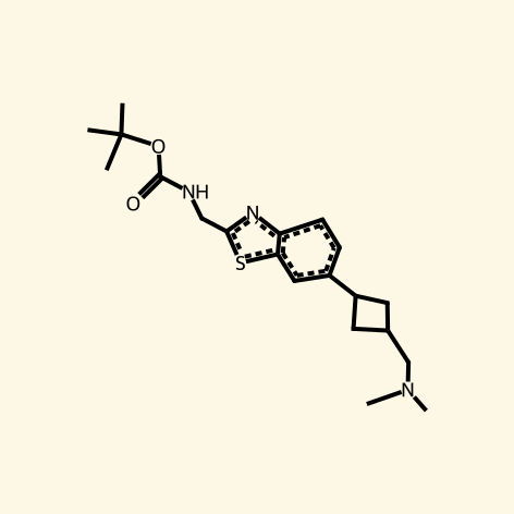 CN(C)CC1CC(c2ccc3nc(CNC(=O)OC(C)(C)C)sc3c2)C1